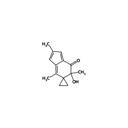 CC1=CC2=C(C)C3(CC3)C(C)(O)C(=O)C2=C1